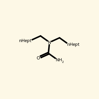 CCCCCCCCN(CCCCCCCC)C(N)=O